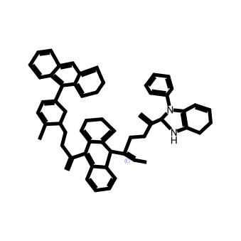 C=C(CCC1CC(c2c3c(cc4ccccc24)=CCCC=3)=CC=C1C)C1=C2C=CC=CC2C(/C(=C/C)CCC(=C)C2NC3=C(C=CCC3)N2c2ccccc2)C2=CCCC=C21